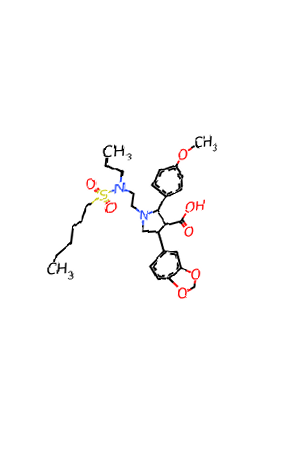 CCCCCCS(=O)(=O)N(CCC)CCN1CC(c2ccc3c(c2)OCO3)C(C(=O)O)C1c1ccc(OC)cc1